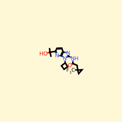 CC(C)(O)c1ccc2nc(NC(=O)CC3(C(F)(F)F)CC3)n(C3CCC3)c2n1